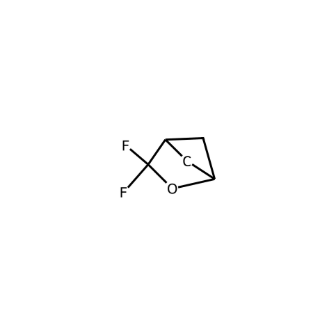 FC1(F)OC2CC1C2